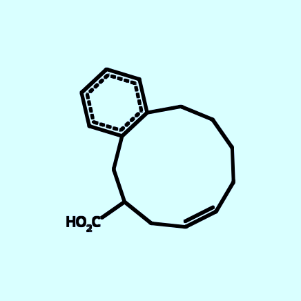 O=C(O)C1CC=CCCCCc2ccccc2C1